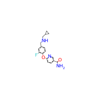 NC(=O)c1ccc(Oc2ccc(CNCC3CC3)cc2F)nc1